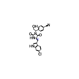 N#Cc1ccc(C(CO)N2C(=O)N/C(=C\c3c[nH]c4cc(Cl)ccc34)C2=O)cc1